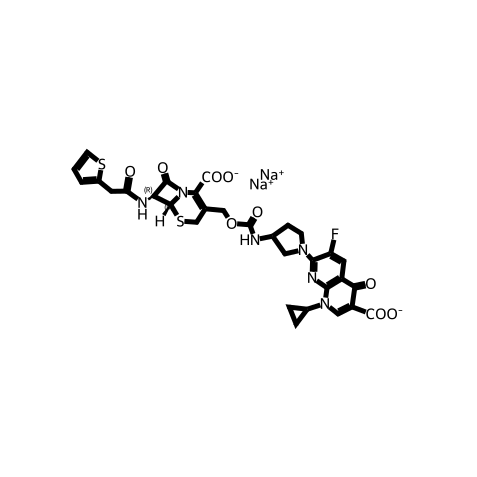 O=C(Cc1cccs1)N[C@@H]1C(=O)N2C(C(=O)[O-])=C(COC(=O)NC3CCN(c4nc5c(cc4F)c(=O)c(C(=O)[O-])cn5C4CC4)C3)CS[C@H]12.[Na+].[Na+]